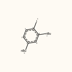 CCCCc1ccc(I)c(CCCC)c1